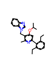 CCc1cccc(CC)c1-c1cc(OC(C)C)c(Cn2cnc3ccccc32)c(C)n1